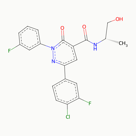 C[C@@H](CO)NC(=O)c1cc(-c2ccc(Cl)c(F)c2)nn(-c2cccc(F)c2)c1=O